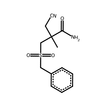 CC(CC#N)(CS(=O)(=O)Cc1ccccc1)C(N)=O